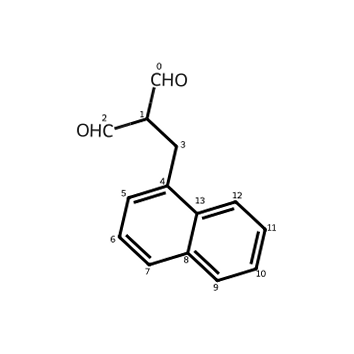 O=CC(C=O)Cc1cccc2ccccc12